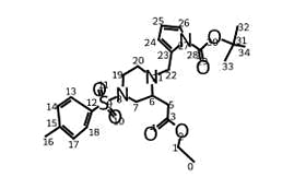 CCOC(=O)CC1CN(S(=O)(=O)c2ccc(C)cc2)CCN1Cc1cccn1C(=O)OC(C)(C)C